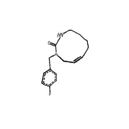 O=C1NCCCC/C=C\CN1Cc1ccc(F)cc1